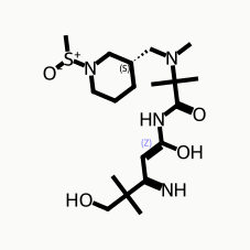 CN(C[C@@H]1CCCN([S+](C)[O-])C1)C(C)(C)C(=O)N/C(O)=C/C(=N)C(C)(C)CO